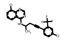 CC(CC#Cc1ccc(Cl)cc1C(F)(F)F)Nc1ncnc2c(Cl)cccc12